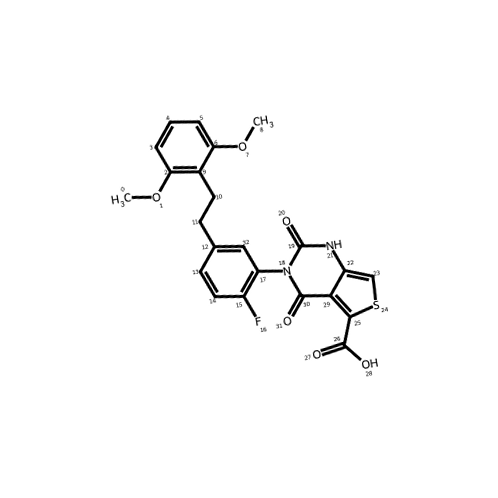 COc1cccc(OC)c1CCc1ccc(F)c(-n2c(=O)[nH]c3csc(C(=O)O)c3c2=O)c1